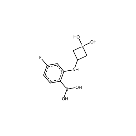 OB(O)c1ccc(F)cc1NC1CS(O)(O)C1